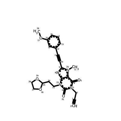 C#CCn1c(=O)c2c(nc(C#Cc3cccc(OC)c3)n2C)n(CCC2OCCO2)c1=O